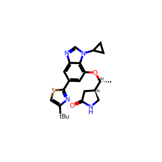 C[C@@H](Oc1cc(-c2nc(C(C)(C)C)cs2)cc2ncn(C3CC3)c12)[C@H]1CNC(=O)C1